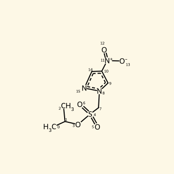 CC(C)OS(=O)(=O)Cn1cc([N+](=O)[O-])cn1